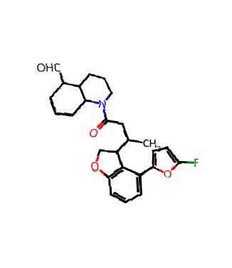 CC(CC(=O)N1CCCC2C(C=O)CCCC21)C1COc2cccc(-c3ccc(F)o3)c21